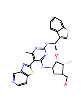 Cc1nc(N[C@H](C)c2csc3ccccc23)nc(N[C@@H]2C[C@H](CO)[C@@H](O)[C@H]2O)c1-c1nc2cnccc2s1